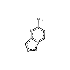 Nc1ccn2nncc2n1